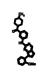 COc1ccccc1-c1ccc2cnc(Nc3cccc(C(=O)N4CCN(C)CC4)c3)nn12